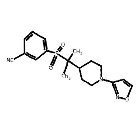 CC(C)(C1CCN(c2ccon2)CC1)S(=O)(=O)c1cccc(C#N)c1